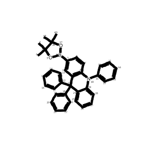 CC1(C)OB(c2ccc3c(c2)C(c2ccccc2)(c2ccccc2)c2ccccc2N3c2ccccc2)OC1(C)C